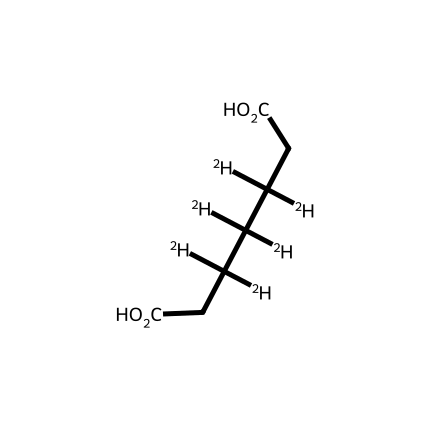 [2H]C([2H])(CC(=O)O)C([2H])([2H])C([2H])([2H])CC(=O)O